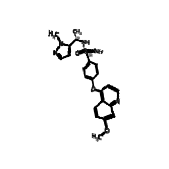 COc1ccc2c(Oc3ccc([S@](=N)(=O)N[C@@H](C)c4ccnn4C)cc3)ccnc2c1